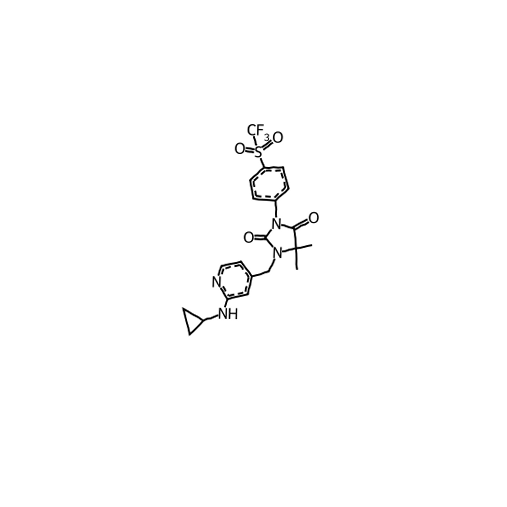 CC1(C)C(=O)N(c2ccc(S(=O)(=O)C(F)(F)F)cc2)C(=O)N1Cc1ccnc(NC2CC2)c1